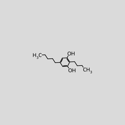 CCCCCc1cc(O)c(CCCC)c(O)c1